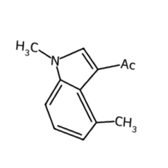 CC(=O)c1cn(C)c2cccc(C)c12